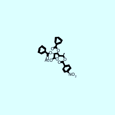 CC(=O)OC1O[C@H]([C@@H](C)OC(=O)c2ccc([N+](=O)[O-])cc2)[C@@H](OC(=O)c2ccccc2)[C@H]1OC(=O)c1ccccc1